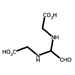 O=[C]C(NCC(=O)O)NCC(=O)O